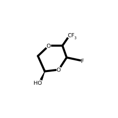 O[C@H]1COC(C(F)(F)F)C(F)O1